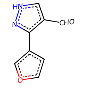 O=Cc1c[nH]nc1-c1ccoc1